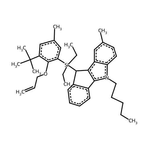 C=CCOc1c(C(C)(C)C)cc(C)cc1[Si](CC)(CC)C1c2ccccc2-c2c1c1cc(C)ccc1n2CCCCC